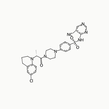 C[C@H](C(=O)N1CCN(c2ccc(S(=O)(=O)Nc3ncncc3C#N)cc2)CC1)N1CCCc2cc(Cl)ccc21